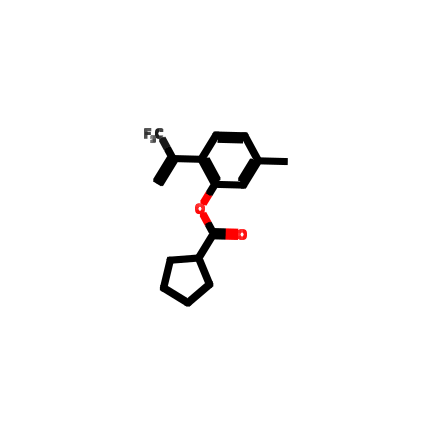 C=C(c1ccc(C)cc1OC(=O)C1CCCC1)C(F)(F)F